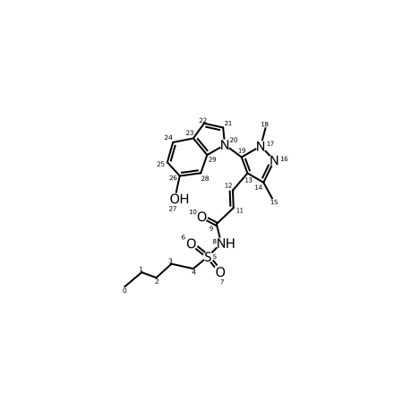 CCCCCS(=O)(=O)NC(=O)C=Cc1c(C)nn(C)c1-n1ccc2ccc(O)cc21